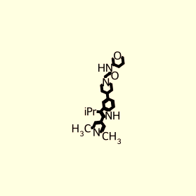 Cc1cc(-c2[nH]c3ccc(C4CCN(CC(=O)NC5CCCOC5)CC4)cc3c2C(C)C)cc(C)n1